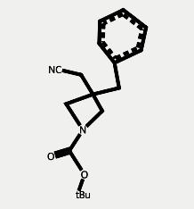 CC(C)(C)OC(=O)N1CC(CC#N)(Cc2ccccc2)C1